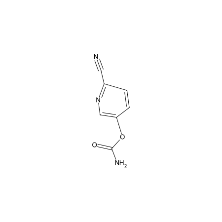 N#Cc1ccc(OC(N)=O)cn1